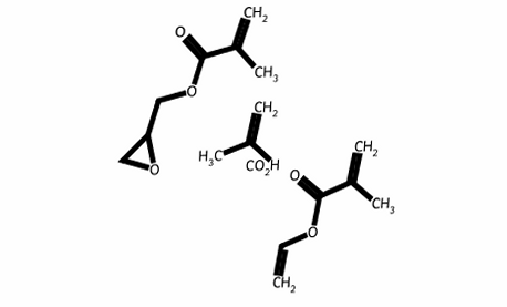 C=C(C)C(=O)O.C=C(C)C(=O)OCC1CO1.C=COC(=O)C(=C)C